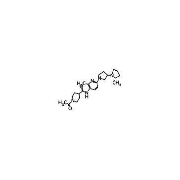 CC(=O)N1CCC(C(=O)Nc2ccc(N3CC[C@@H](N4CCC[C@@H]4C)C3)nc2C)CC1